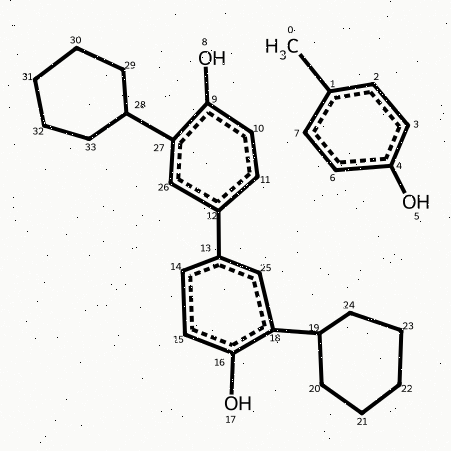 Cc1ccc(O)cc1.Oc1ccc(-c2ccc(O)c(C3CCCCC3)c2)cc1C1CCCCC1